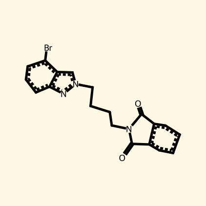 O=C1c2ccccc2C(=O)N1CCCCn1cc2c(Br)cccc2n1